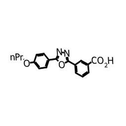 CCCOc1ccc(-c2nnc(-c3cccc(C(=O)O)c3)o2)cc1